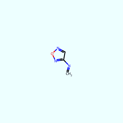 C=Nc1cnon1